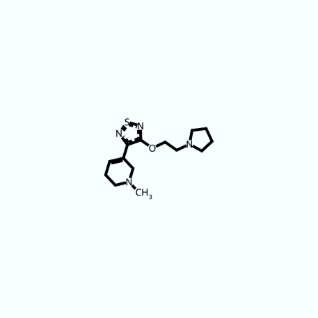 CN1CCC=C(c2nsnc2OCCN2CCCC2)C1